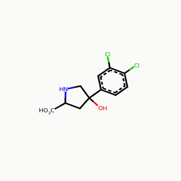 O=C(O)C1CC(O)(c2ccc(Cl)c(Cl)c2)CN1